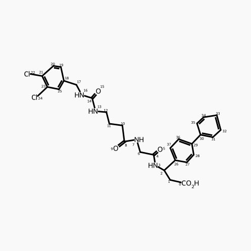 O=C(O)CC(NC(=O)CNC(=O)CCCNC(=O)NCc1ccc(Cl)c(Cl)c1)c1ccc(-c2ccccc2)cc1